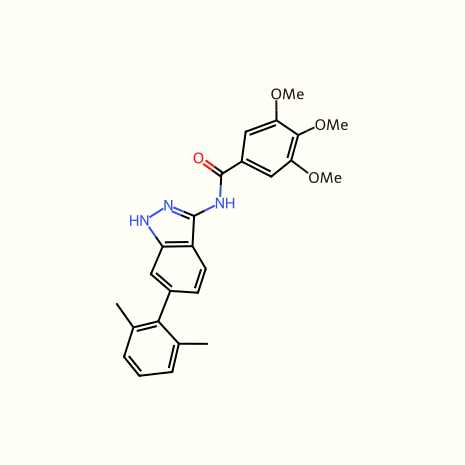 COc1cc(C(=O)Nc2n[nH]c3cc(-c4c(C)cccc4C)ccc23)cc(OC)c1OC